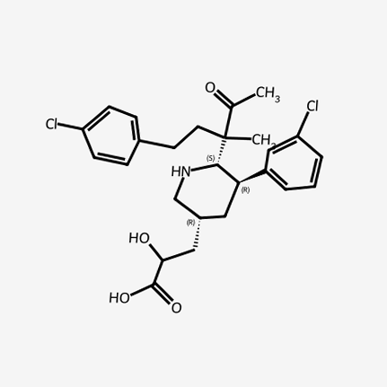 CC(=O)C(C)(CCc1ccc(Cl)cc1)[C@H]1NC[C@@H](CC(O)C(=O)O)C[C@@H]1c1cccc(Cl)c1